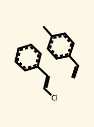 C=Cc1ccc(C)cc1.Cl/C=C/c1ccccc1